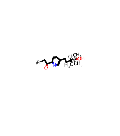 CC(C)CC(=O)c1ccc(CCC(C)(C)[Si](C)(C)O)cn1